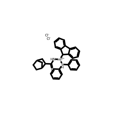 O=C([NH][Hf+2]([CH]1c2ccccc2-c2ccccc21)[SiH](c1ccccc1)c1ccccc1)C1CC2CCC1C2.[Cl-].[Cl-]